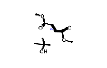 CC(C)(C)O.COC(=O)/C=C/C(=O)OC